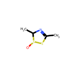 CC1=NC(C)[S+]([O-])S1